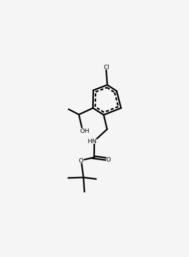 CC(O)c1cc(Cl)ccc1CNC(=O)OC(C)(C)C